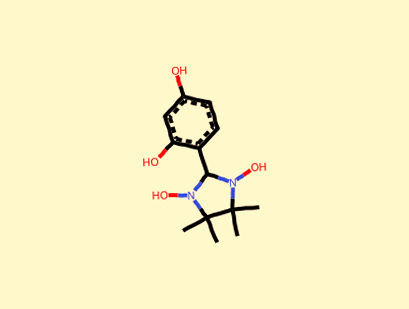 CC1(C)N(O)C(c2ccc(O)cc2O)N(O)C1(C)C